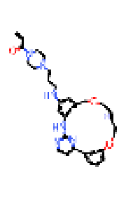 C=CC(=O)N1CCN(CCCNc2cc3cc(c2)Nc2nccc(n2)-c2cccc(c2)OCC/C=C/COC3)CC1